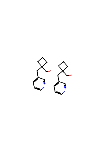 OCC1(Cc2cccnc2)CCC1.OCC1(Cc2cccnc2)CCC1